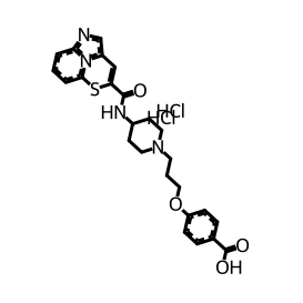 Cl.Cl.O=C(NC1CCN(CCCOc2ccc(C(=O)O)cc2)CC1)C1=Cc2cnc3cccc(n23)S1